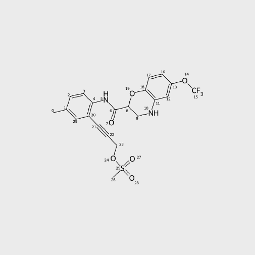 Cc1ccc(NC(=O)C2CNc3cc(OC(F)(F)F)ccc3O2)c(C#CCOS(C)(=O)=O)c1